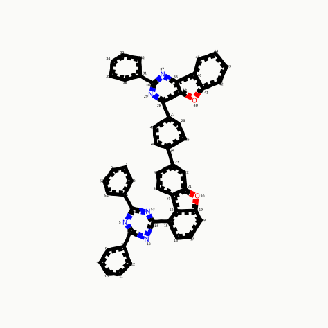 c1ccc(-c2nc(-c3ccccc3)nc(-c3cccc4oc5cc(-c6ccc(-c7nc(-c8ccccc8)nc8c7oc7ccccc78)cc6)ccc5c34)n2)cc1